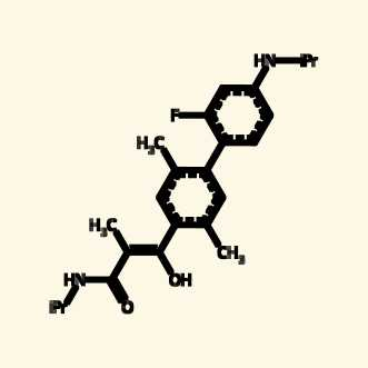 C/C(C(=O)NC(C)C)=C(/O)c1cc(C)c(-c2ccc(NC(C)C)cc2F)cc1C